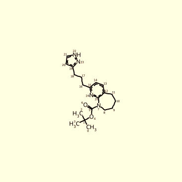 CC(C)(C)OC(=O)N1CCCCc2ccc(CCCc3cc[nH]n3)nc21